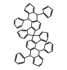 c1ccc(B2c3ccccc3B(c3ccccc3)c3c2ccc2c3-c3ccccc3C23c2ccccc2-c2c3ccc3c2B(c2ccccc2)c2ccccc2B3c2ccccc2)cc1